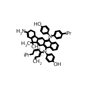 C=C/C=C(\C=C/CC(C)C)N(c1ccc(O)cc1)c1c2ccccc2c(N(c2ccc(O)cc2)c2ccc(C(C)C)cc2)c2cc3c(cc12)C(C)(C)C1=C3CCC(N)=C1